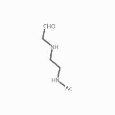 CC(=O)NCCNCC=O